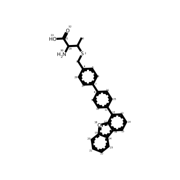 CC(SCc1ccc(-c2ccc(-c3cccc4c3oc3ccccc34)cc2)cc1)C(N)C(=O)O